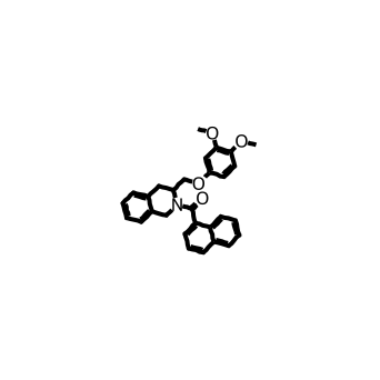 COc1ccc(OCC2Cc3ccccc3CN2C(=O)c2cccc3ccccc23)cc1OC